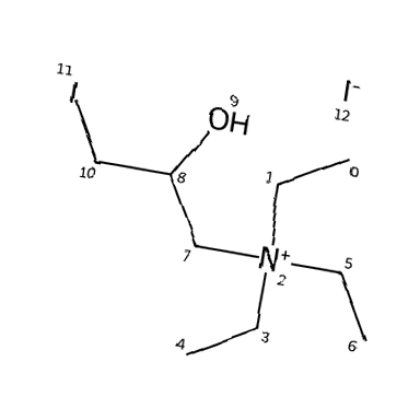 CC[N+](CC)(CC)CC(O)CI.[I-]